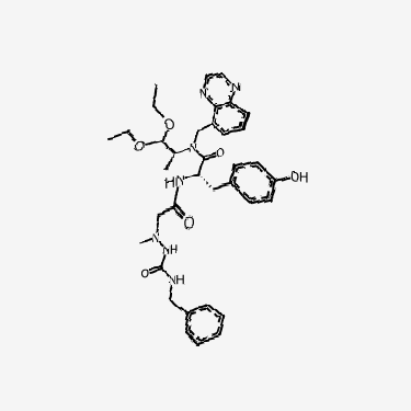 CCOC(OCC)[C@H](C)N(Cc1cccc2nccnc12)C(=O)[C@H](Cc1ccc(O)cc1)NC(=O)CN(C)NC(=O)NCc1ccccc1